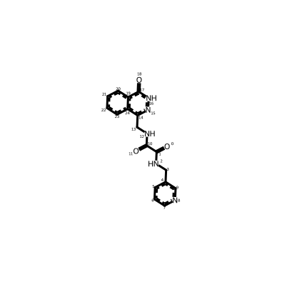 O=C(NCc1cccnc1)C(=O)NCc1n[nH]c(=O)c2ccccc12